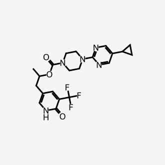 CC(Cc1c[nH]c(=O)c(C(F)(F)F)c1)OC(=O)N1CCN(c2ncc(C3CC3)cn2)CC1